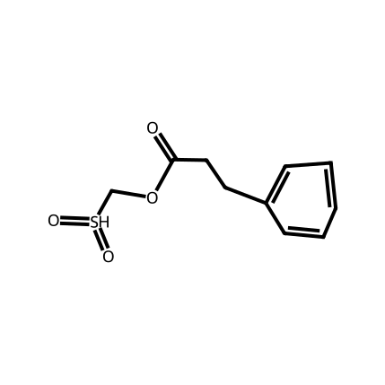 O=C(CCc1ccccc1)OC[SH](=O)=O